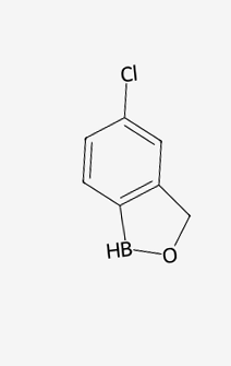 Clc1ccc2c(c1)COB2